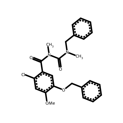 COc1cc(Cl)c(C(=O)N(C)C(=O)N(C)Cc2ccccc2)cc1OCc1ccccc1